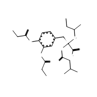 CCC(=O)Oc1ccc(C[C@](NC(C)CC)(OC(=O)CC(C)C)C(=O)O)cc1OC(=O)CC